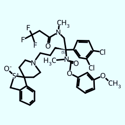 COc1cccc(OC(=O)N(C)[C@](CCCN2CCC3(CC2)c2ccccc2C[S+]3[O-])(CN(C)C(=O)CC(F)(F)F)c2ccc(Cl)c(Cl)c2)c1